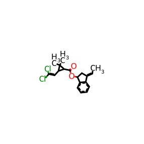 CC=C1CC(OC(=O)C2C(C=C(Cl)Cl)C2(C)C)c2ccccc21